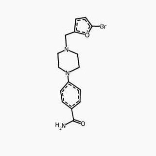 NC(=O)c1ccc(N2CCN(Cc3ccc(Br)o3)CC2)cc1